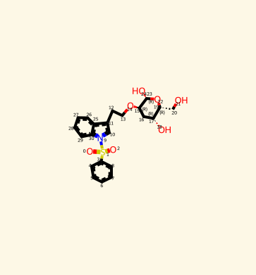 O=S(=O)(c1ccccc1)n1cc(CCO[C@@H]2C[C@@H](O)[C@@H](CO)O[C@H]2O)c2ccccc21